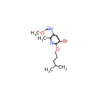 CO/C=N\c1cc(Br)c(OCCCC(C)C)nc1C